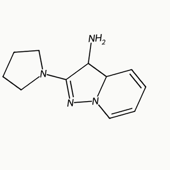 NC1C(N2CCCC2)=NN2C=CC=CC12